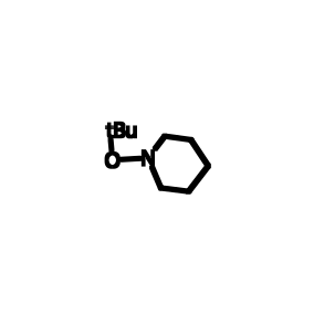 CC(C)(C)ON1CCCCC1